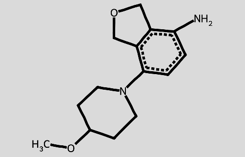 COC1CCN(c2ccc(N)c3c2COC3)CC1